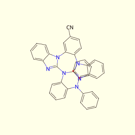 N#Cc1ccc2c(c1)n1c3ccccc3nc1n(-c1ccccc1N(c1ccccc1)c1ccccc1)c1nc3ccccc3n21